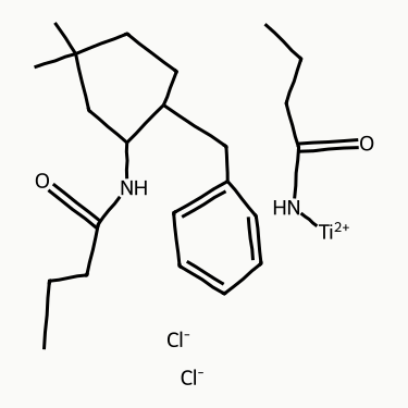 CCCC(=O)NC1CC(C)(C)CCC1Cc1ccccc1.CCCC(=O)[NH][Ti+2].[Cl-].[Cl-]